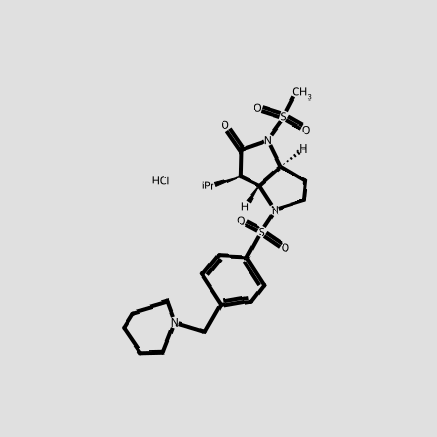 CC(C)[C@H]1C(=O)N(S(C)(=O)=O)[C@H]2CCN(S(=O)(=O)c3ccc(CN4CCCCC4)cc3)[C@H]12.Cl